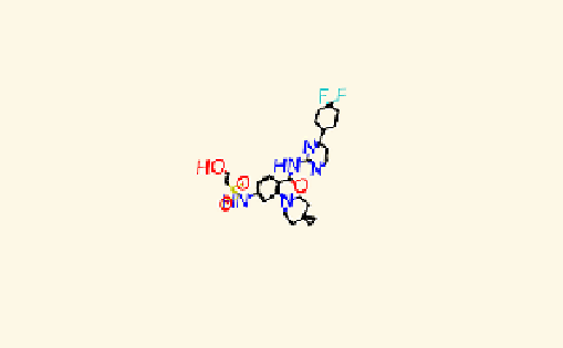 O=C(Nc1nccc(C2CCC(F)(F)CC2)n1)c1ccc(NS(=O)(=O)CCO)cc1N1CCC2(CC1)CC2